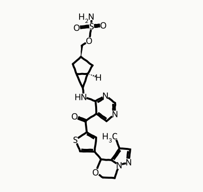 Cc1cnn2c1C(c1csc(C(=O)c3cncnc3NC3C4C[C@@H](COS(N)(=O)=O)C[C@H]43)c1)OCC2